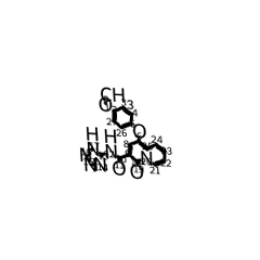 COc1ccc(Oc2cc(C(=O)Nc3nnn[nH]3)c(=O)n3ccccc23)cc1